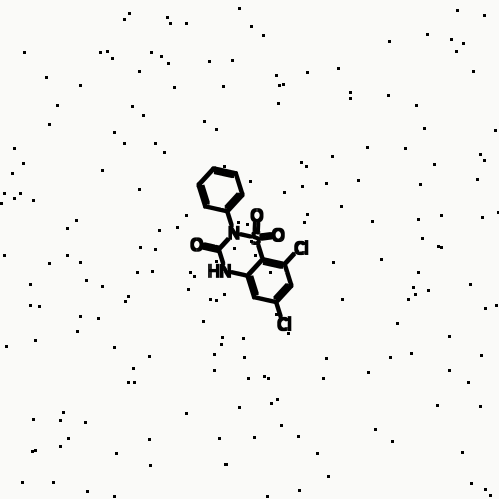 O=C1Nc2cc(Cl)cc(Cl)c2S(=O)(=O)N1c1ccccc1